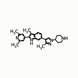 Cc1cc(-c2[nH]c3cc(-c4cn(C5CCNCC5)nc4C)ccc3c2C)cc(C)n1